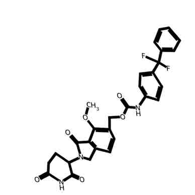 COc1c(COC(=O)Nc2ccc(C(F)(F)c3ccccc3)cc2)ccc2c1C(=O)N(C1CCC(=O)NC1=O)C2